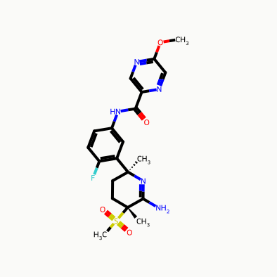 COc1cnc(C(=O)Nc2ccc(F)c([C@]3(C)CC[C@@](C)(S(C)(=O)=O)C(N)=N3)c2)cn1